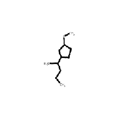 CCCC(C)C1CCC(SC)C1